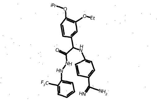 CCOc1cc(C(Nc2ccc(C(=N)N)cc2)C(=O)NNc2ccccc2C(F)(F)F)ccc1OC(C)C